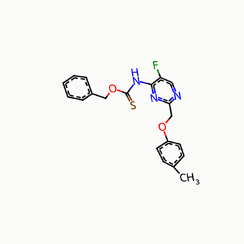 Cc1ccc(OCc2ncc(F)c(NC(=S)OCc3ccccc3)n2)cc1